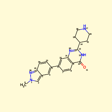 Cn1cc2cc(-c3ccc4c(=O)[nH]c(C5CCNCC5)nc4c3)ccc2n1